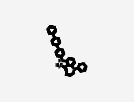 C/C1=C\C=C/CN(C2=CC=CCC2)c2cccc(Nc3ccc(-c4ccc(-c5ccccc5)cc4)cc3)c21